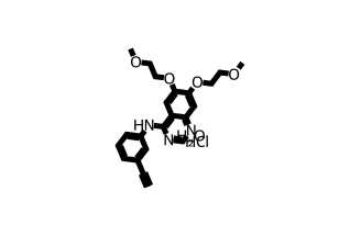 C#Cc1cccc(Nc2ncnc3cc(OCCOC)c(OCCOC)cc23)c1.Cl.O